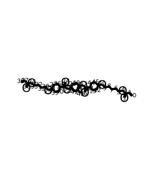 C=CC(=O)OCCCCCOC1CCC(C(=O)Oc2ccc(OC(=O)C3CCC(OCCCCOC(=O)C=C)CC3)cc2C)CC1